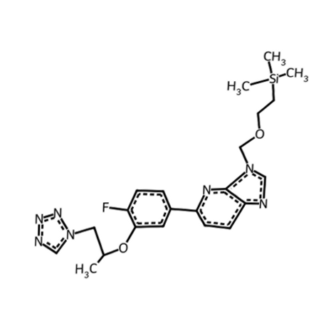 CC(Cn1cnnn1)Oc1cc(-c2ccc3ncn(COCC[Si](C)(C)C)c3n2)ccc1F